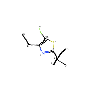 CCc1nc(C(C)(C)C)sc1F